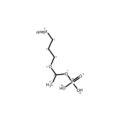 CCCCCCCCCCOC(C)OP(=O)(O)O